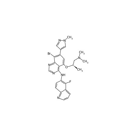 C[C@H](CN(C)C)Oc1cc(-c2cnn(C)c2)c(Br)c2ncnc(Nc3ccc4ncccc4c3F)c12